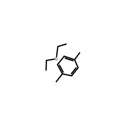 CCOCC.Cc1ccc(C)cc1